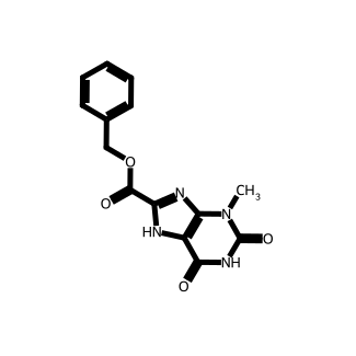 Cn1c(=O)[nH]c(=O)c2[nH]c(C(=O)OCc3ccccc3)nc21